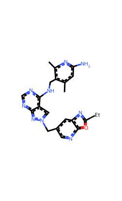 CCc1nc2cc(Cn3cc4c(NCc5c(C)cc(N)nc5C)ncnc4n3)cnc2o1